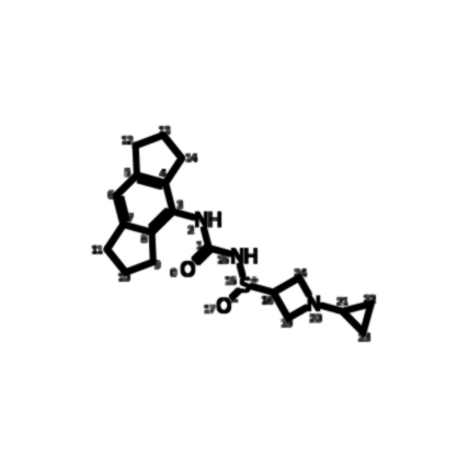 O=C(Nc1c2c(cc3c1CCC3)CCC2)N[S+]([O-])C1CN(C2CC2)C1